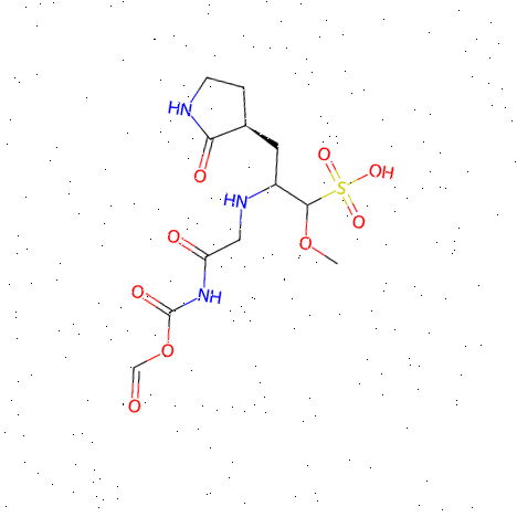 COC(C(C[C@@H]1CCNC1=O)NCC(=O)NC(=O)OC=O)S(=O)(=O)O